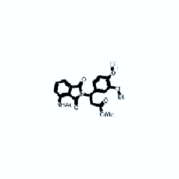 CCOc1cc(C(CC(=O)OC)N2C(=O)c3cccc(NC(C)=O)c3C2=O)ccc1OC(F)(F)F